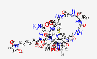 CC[C@H](C)[C@@H]1NC(=O)CNC(=O)[C@@H]2Cc3c(n(CCCCNC(=O)CCCCCN4C(=O)C=CC4=O)c4cc(OC)ccc34)SC[C@H](CNC(=O)CNC1=O)C(=O)N[C@@H](CC(N)=O)C(=O)N1C[C@H](O)CC1C(=O)N[C@H]([C@@H](C)[C@H](C)O)C(=O)N2